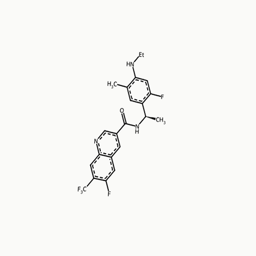 CCNc1cc(F)c([C@@H](C)NC(=O)c2cnc3cc(C(F)(F)F)c(F)cc3c2)cc1C